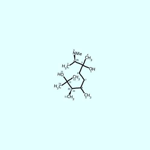 CN[C@H](C)C(C)(O)CCC(C)[C@@H](C)C(C)(C)O